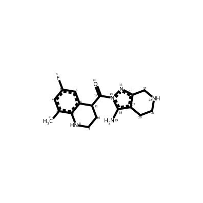 Cc1cc(F)cc2c1NCCC2C(=O)n1nc2c(c1N)CCNC2